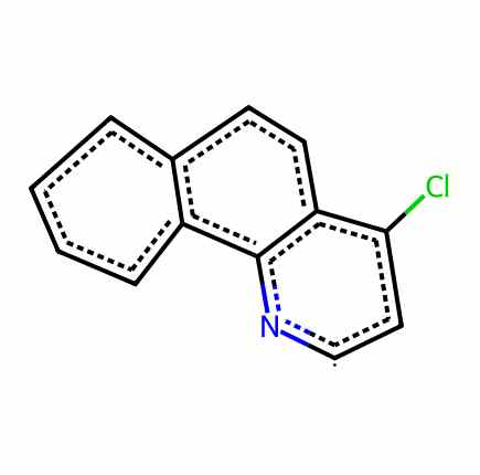 Clc1c[c]nc2c1ccc1ccccc12